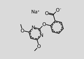 COc1cc(OC)nc(Oc2ccccc2C(=O)[O-])n1.[Na+]